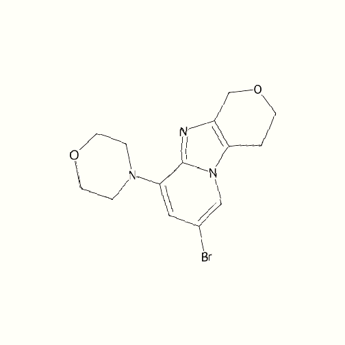 Brc1cc(N2CCOCC2)c2nc3c(n2c1)CCOC3